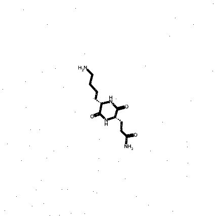 NCCCC[C@@H]1NC(=O)[C@H](CCC(N)=O)NC1=O